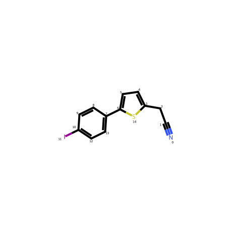 N#CCc1ccc(-c2ccc(I)cc2)s1